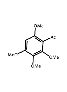 COc1cc(OC)c(C(C)=O)c(OC)c1OC